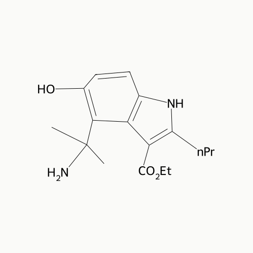 CCCc1[nH]c2ccc(O)c(C(C)(C)N)c2c1C(=O)OCC